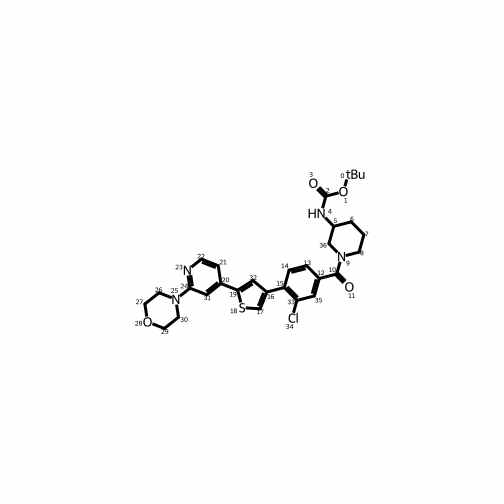 CC(C)(C)OC(=O)NC1CCCN(C(=O)c2ccc(-c3csc(-c4ccnc(N5CCOCC5)c4)c3)c(Cl)c2)C1